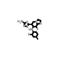 Cc1ccc(Nc2c(-c3nnc(N)o3)cn3ccnc3c2F)c(F)c1